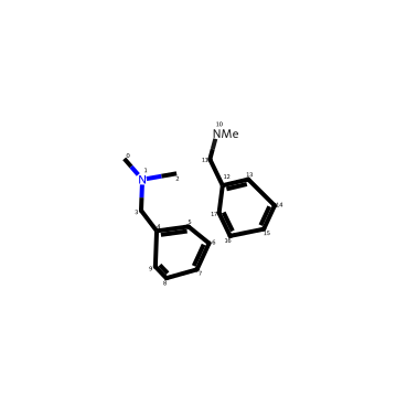 CN(C)Cc1ccccc1.CNCc1ccccc1